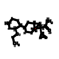 CCO[C@@H]1CNCCC1C1CC2CC3C(C1)N2[C@]3(C(N)=O)C1CC1